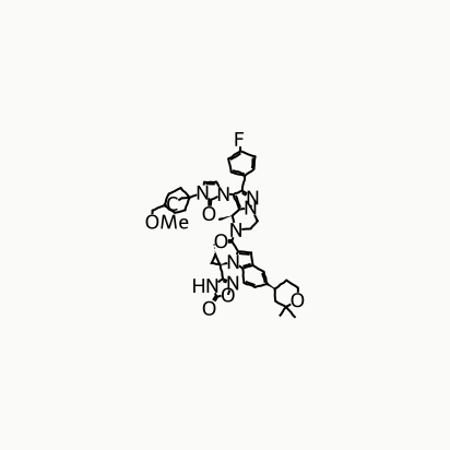 COCC12CCC(n3ccn(-c4c(-c5ccc(F)cc5)nn5c4[C@H](C)N(C(=O)c4cc6cc([C@H]7CCOC(C)(C)C7)ccc6n4[C@@]4(c6noc(=O)[nH]6)C[C@@H]4C)CC5)c3=O)(CC1)CC2